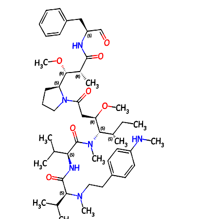 CC[C@H](C)[C@@H]([C@@H](CC(=O)N1CCC[C@H]1[C@H](OC)[C@@H](C)C(=O)N[C@H](C=O)Cc1ccccc1)OC)N(C)C(=O)[C@@H](NC(=O)[C@H](C(C)C)N(C)CCc1ccc(NC)cc1)C(C)C